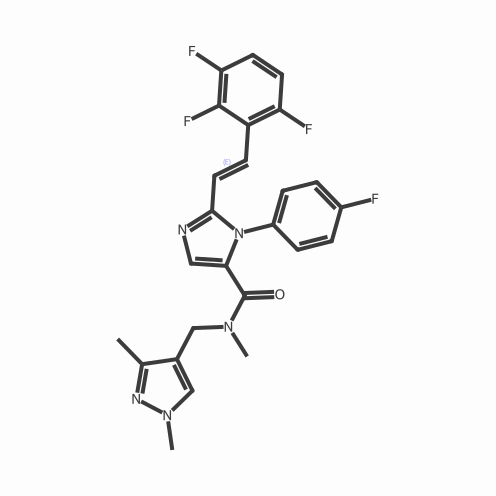 Cc1nn(C)cc1CN(C)C(=O)c1cnc(/C=C/c2c(F)ccc(F)c2F)n1-c1ccc(F)cc1